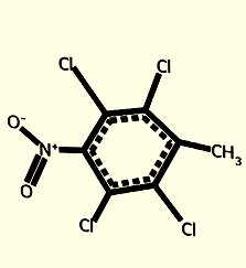 Cc1c(Cl)c(Cl)c([N+](=O)[O-])c(Cl)c1Cl